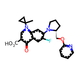 CC1(n2cc(C(=O)O)c(=O)c3cc(F)c(N4CCC[C@@H]4COc4ccccn4)cc32)CC1